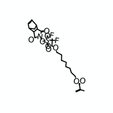 C=C(C)C(=O)OCCCCCCCCOC(=O)C(F)(F)S(=O)(=O)ON1C(=O)C2C3C=CC(C3)C2C1=O